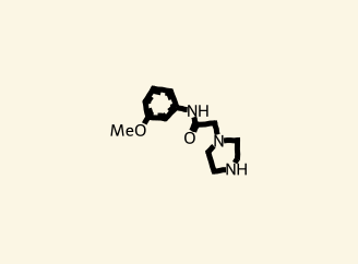 COc1cccc(NC(=O)CN2CCNCC2)c1